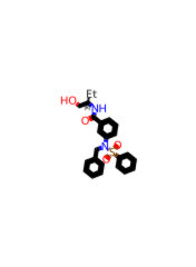 CC[C@H](CO)NC(=O)c1cccc(N(Cc2ccccc2)S(=O)(=O)c2ccccc2)c1